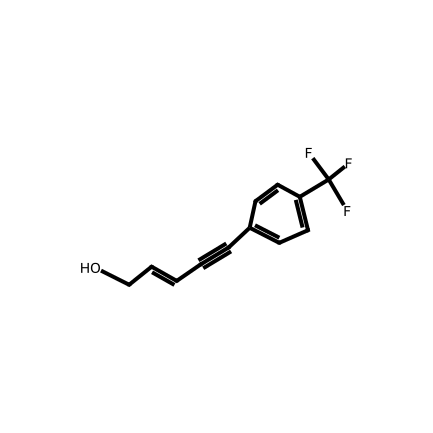 OCC=CC#Cc1ccc(C(F)(F)F)cc1